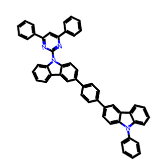 c1ccc(-c2cc(-c3ccccc3)nc(-n3c4ccccc4c4cc(-c5ccc(-c6ccc7c(c6)c6ccccc6n7-c6ccccc6)cc5)ccc43)n2)cc1